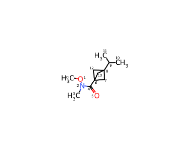 CON(C)C(=O)C12CC(C(C)C)(C1)C2